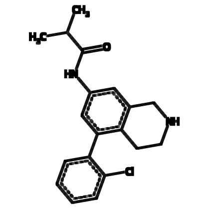 CC(C)C(=O)Nc1cc2c(c(-c3ccccc3Cl)c1)CCNC2